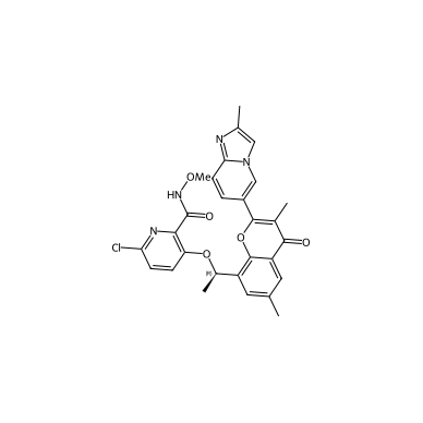 CONC(=O)c1nc(Cl)ccc1O[C@H](C)c1cc(C)cc2c(=O)c(C)c(-c3ccc4nc(C)cn4c3)oc12